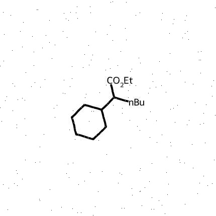 CCCCC(C(=O)OCC)C1CCCCC1